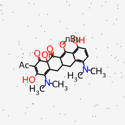 CCCCOC1=C2C(=O)C3(O)C(=O)C(C(C)=O)=C(O)C(N(C)C)=C3CC2Cc2c(N(C)C)ccc(O)c21